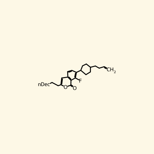 C=CCCC1CCC(c2ccc3cc(CCCCCCCCCCCC)oc(=O)c3c2F)CC1